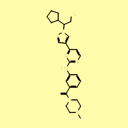 CN1CCN(C(=O)c2cccc(Nc3nccc(-c4cnn(C(CC#N)C5CCCC5)c4)n3)c2)CC1